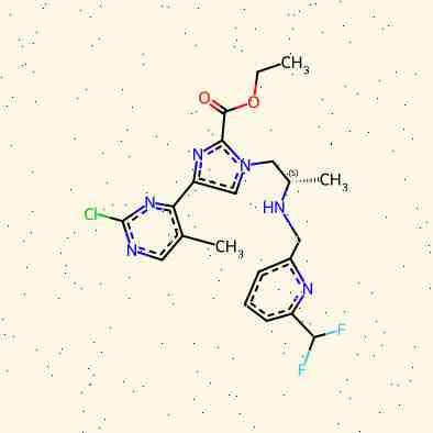 CCOC(=O)c1nc(-c2nc(Cl)ncc2C)cn1C[C@H](C)NCc1cccc(C(F)F)n1